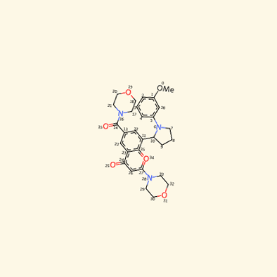 COc1cccc(N2CCCC2c2cc(C(=O)N3CCOCC3)cc3c(=O)cc(N4CCOCC4)oc23)c1